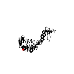 CNC(=O)c1cc(Oc2ccc3nc(N[C@H]4CCCCC4OC(=O)CCC(=O)O[C@H]4CC[C@@]5(C)C(=CCC6C5CC[C@@]5(C)C6CC[C@@H]5[C@H](C)CCCC(C)C)C4)sc3c2)ccn1